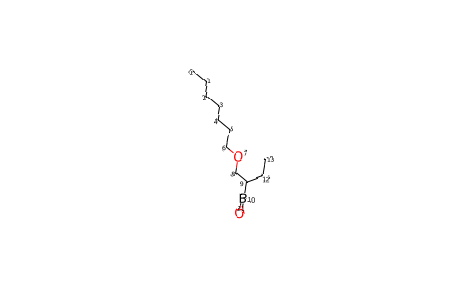 CCCCCCCOCC(B=O)CC